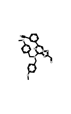 COc1ccc(CN(Cc2ccc(OC)cc2)c2nc(-c3cccc(C#N)c3)cn3nc(C=O)nc23)cc1